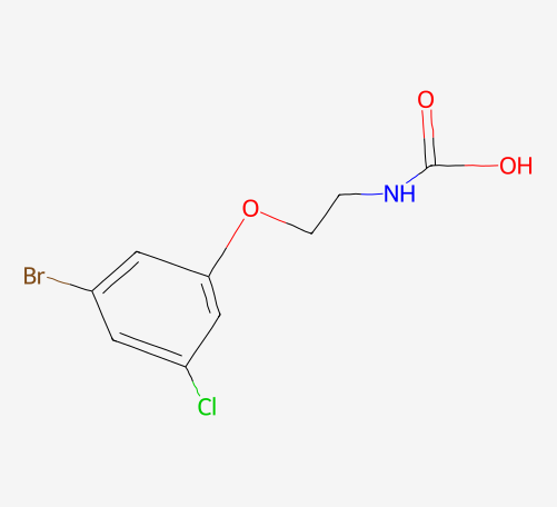 O=C(O)NCCOc1cc(Cl)cc(Br)c1